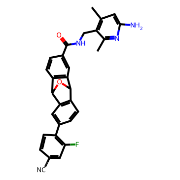 Cc1cc(N)nc(C)c1CNC(=O)c1ccc2c(c1)C1OC2c2cc(-c3ccc(C#N)cc3F)ccc21